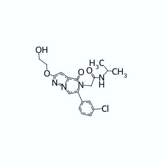 CC(C)NC(=O)Cn1c(-c2cccc(Cl)c2)cn2nc(OCCO)cc2c1=O